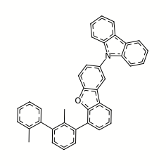 Cc1ccccc1-c1cccc(-c2cccc3c2oc2ccc(-n4c5ccccc5c5ccccc54)cc23)c1C